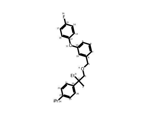 CCC(C)(COCc1cccc(Oc2ccc(F)cc2)c1)c1ccc(C(C)C)cc1